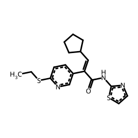 CCSc1ccc(/C(=C\C2CCCC2)C(=O)Nc2nccs2)cn1